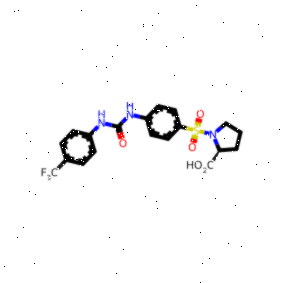 O=C(Nc1ccc(C(F)(F)F)cc1)Nc1ccc(S(=O)(=O)N2CCC[C@H]2C(=O)O)cc1